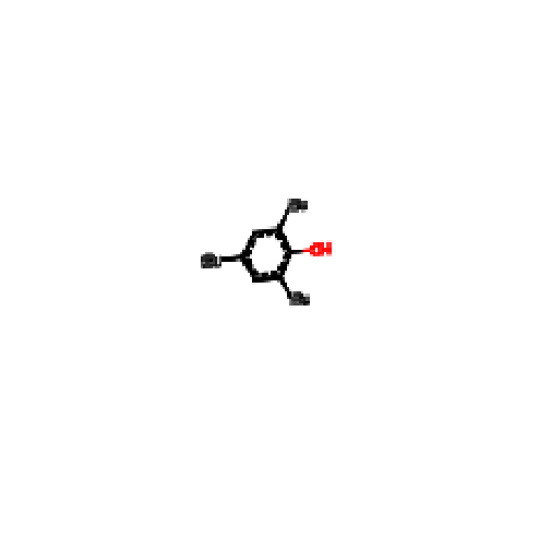 CCC(C)c1cc(C(C)(C)C)cc(C(C)CC)c1O